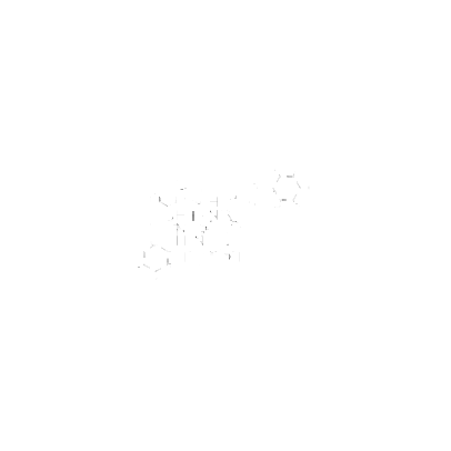 COC(=O)[C@@H](Cc1ccccc1)NC(=O)[C@@](N)(CC(C)C)NC(=O)CCCc1ccccc1